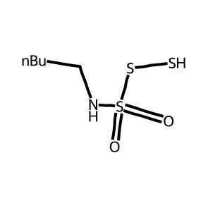 CCCCCNS(=O)(=O)SS